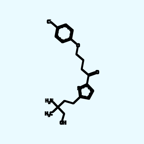 CC(N)(CO)CCc1ccc(C(=O)CCCOc2ccc(Cl)cc2)s1